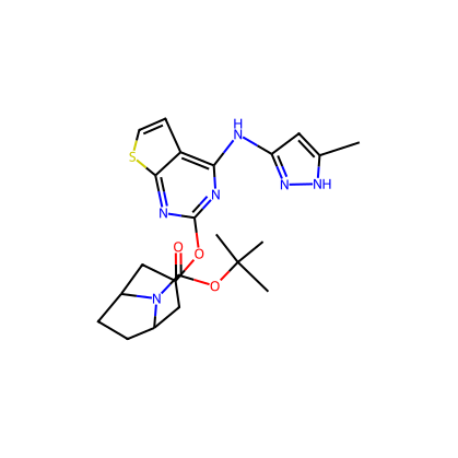 Cc1cc(Nc2nc(OC3CC4CCC(C3)N4C(=O)OC(C)(C)C)nc3sccc23)n[nH]1